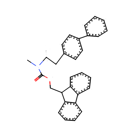 CN(C(=O)OCC1c2ccccc2-c2ccccc21)[C@@H](Cc1ccc(-c2ccccc2)cc1)C(=O)O